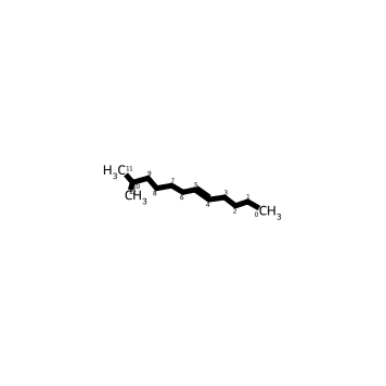 CCCC/C=C/CCCC[C](C)C